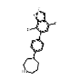 Clc1cc(-c2ccc(N3CCCNCC3)cc2)c(Cl)c2n[nH]cc12